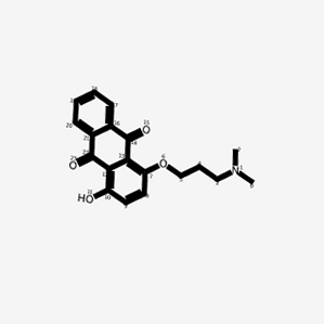 CN(C)CCCOc1ccc(O)c2c1C(=O)c1ccccc1C2=O